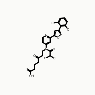 O=C(O)CCCC(=O)CCN(C(=O)C(Cl)Cl)c1ccnc(-c2cc(-c3c(Cl)cccc3Cl)no2)c1